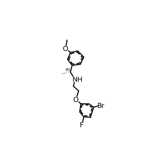 COc1cccc([C@@H](C)NCCOc2cc(F)cc(Br)c2)c1